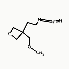 COCC1(CCN=[N+]=[N-])COC1